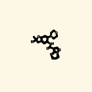 CCC1(C)Cc2cc(NC(=O)c3cnn4cccnc34)c(N3CCOCC3)cc2O1